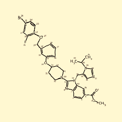 COC(=O)c1ccc2nc(N3CCC(Oc4cccc(COc5ccc(Br)cc5F)c4)CC3)n(Cc3cncn3C(C)C)c2c1